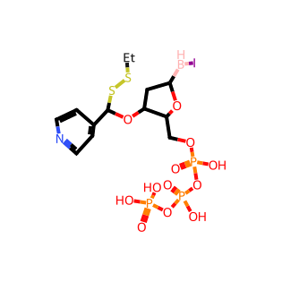 CCSSC(OC1CC(BI)OC1COP(=O)(O)OP(=O)(O)OP(=O)(O)O)c1ccncc1